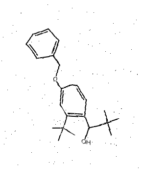 CC(C)(C)c1cc(OCc2ccccc2)ccc1C(O)C(C)(C)C